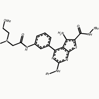 CCN(CCOC)CC(=O)Nc1cccc(-c2nc(NC(C)C)nc3sc(C(=O)NC(C)(C)C)c(N)c23)c1